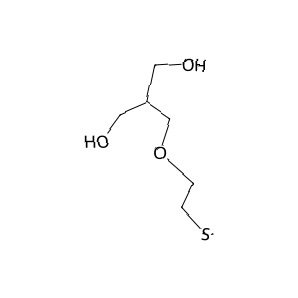 OCC(CO)COCC[S]